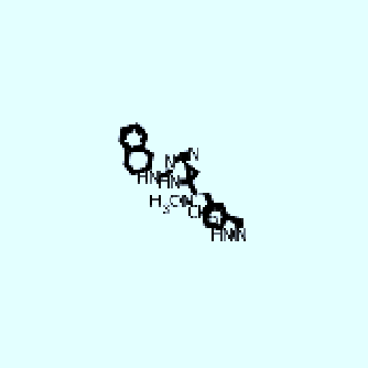 CN(C)[C@@H](Cc1ccc2[nH]ncc2c1)C1(NC(=NC#N)NC2CCc3ccccc3C2)CC1